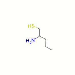 C/C=C/C(N)CS